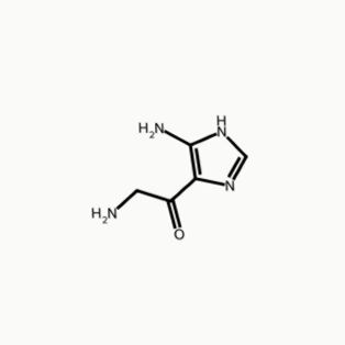 NCC(=O)c1nc[nH]c1N